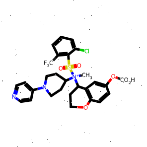 C[N+](C1CCN(c2ccncc2)CC1)(C1CCOc2ccc(OC(=O)O)cc21)S(=O)(=O)c1c(Cl)cccc1C(F)(F)F